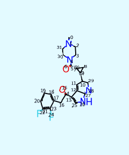 CN1CCN(C(=O)[C@@H]2C[C@H]2C2C=c3c(C(=O)Cc4cccc(F)c4F)c[nH]c3=NC2)CC1